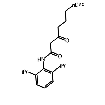 CCCCCCCCCCCCCC(=O)CC(=O)Nc1c(C(C)C)cccc1C(C)C